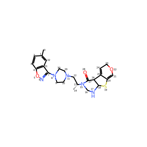 Cc1ccc2onc(N3CCN(C[C@@H](C)N4CNC5SC6=COCC=C6C5C4=O)CC3)c2c1